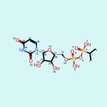 CC(C)P(=O)(O)OP(=O)(O)OC[C@H]1O[C@@H](n2ccc(=O)[nH]c2=O)C(O)C1O